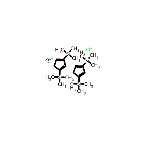 C[Si](C)(C)C1=CCC([Si](C)(C)C)=C1.C[Si](C)(C)C1=CCC([Si](C)(C)C)=C1.[Cl-].[Cl-].[Zr+2]